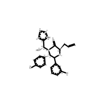 C=CC[C@H]1OC(c2cccc(Cl)c2)[C@H](c2ccc(Cl)cc2)N([C@H](CCC)c2nnn[nH]2)C1=O